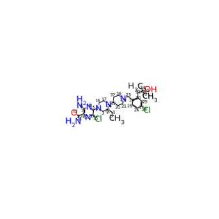 CC[C@H]1CN(c2nc(N)c(C(N)=O)nc2Cl)CCN1C1CCN(Cc2ccc(Cl)cc2CC(C)(C)O)CC1